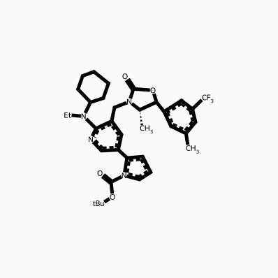 CCN(c1ncc(-c2cccn2C(=O)OC(C)(C)C)cc1CN1C(=O)OC(c2cc(C)cc(C(F)(F)F)c2)[C@@H]1C)C1CCCCC1